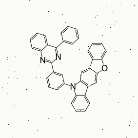 c1ccc(-c2nc(-c3cccc(-n4c5ccccc5c5cc6oc7ccccc7c6cc54)c3)nc3ccccc23)cc1